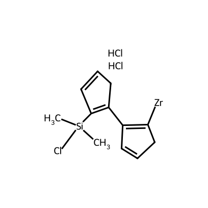 C[Si](C)(Cl)C1=C(C2=[C]([Zr])CC=C2)CC=C1.Cl.Cl